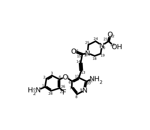 Nc1ccc(Oc2ccnc(N)c2C#CC(=O)N2CCN(C(=O)O)CC2)c(F)c1